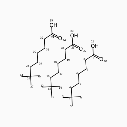 CC(C)(C)CCCCCC(=O)O.CC(C)(C)CCCCCC(=O)O.CC(C)(C)CCCCCC(=O)O